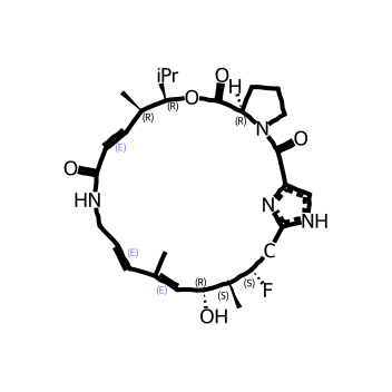 CC1=C\[C@@H](O)[C@H](C)[C@@H](F)Cc2nc(c[nH]2)C(=O)N2CCC[C@@H]2C(=O)O[C@H](C(C)C)[C@H](C)/C=C/C(=O)NC\C=C\1